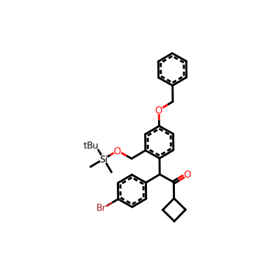 CC(C)(C)[Si](C)(C)OCc1cc(OCc2ccccc2)ccc1C(C(=O)C1CCC1)c1ccc(Br)cc1